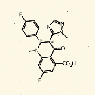 CN1c2cc(F)cc(C(=O)O)c2C(=O)[C@H](c2ncnn2C)[C@H]1c1ccc(F)cc1